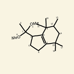 COC(C)(OC)C1CCC2=C1C(C)(C)C(C)CC2(C)C